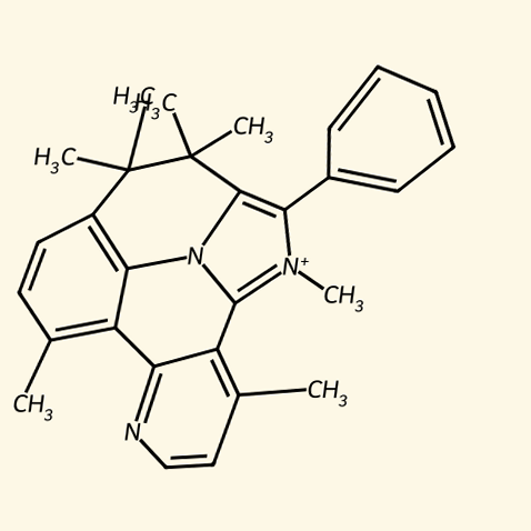 Cc1ccc2c3c1c1nccc(C)c1c1n3c(c(-c3ccccc3)[n+]1C)C(C)(C)C2(C)C